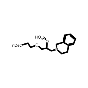 CCCCCCCCCCCCOCC(CN1CCc2ccccc2C1)OS(=O)(=O)O